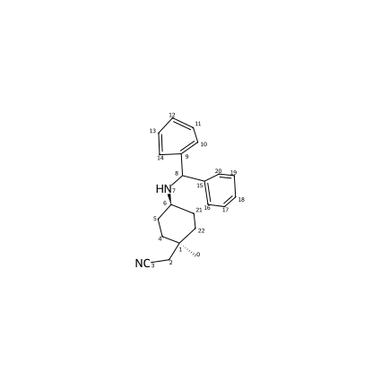 C[C@]1(CC#N)CC[C@@H](NC(c2ccccc2)c2ccccc2)CC1